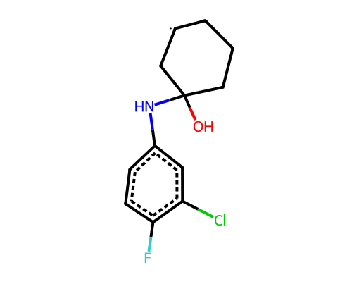 OC1(Nc2ccc(F)c(Cl)c2)C[CH]CCC1